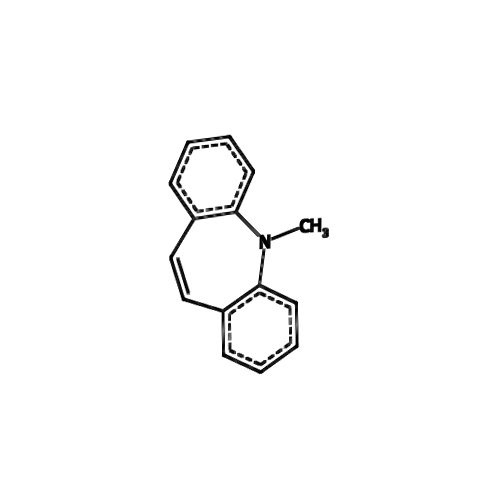 CN1c2ccccc2C=Cc2ccccc21